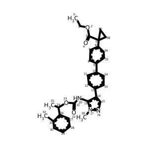 CCOC(=O)C1(c2ccc(-c3ccc(-c4cnn(C)c4NC(=O)OC(C)c4ccccc4C)cc3)cc2)CC1